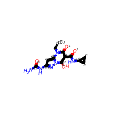 CC(C)(C)Cn1c(=O)c(C(=O)NC2CC2)c(O)n2nc(NC(N)=O)cc12